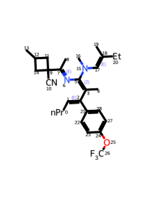 CCC/C=C(/C(C)=C(\N=C(/C)C1(C#N)CC(C)C1)N(C)/C=C(\C)CC)c1ccc(OC(F)(F)F)cc1